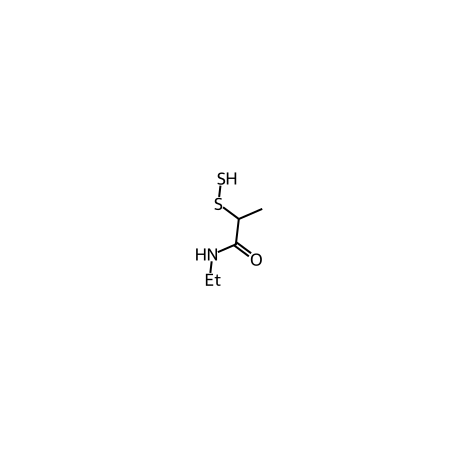 CCNC(=O)C(C)SS